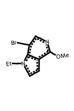 CCn1ccc2c(OC)ncc(Br)c21